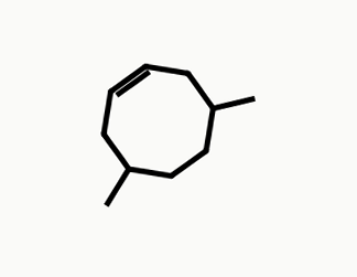 CC1CC=CCC(C)CC1